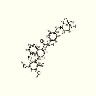 COc1cc(OC)c(F)c(-c2ccc(C(=O)Nc3ccc(CN4CCNC(C)(C)C4)cn3)c3nccnc23)c1F